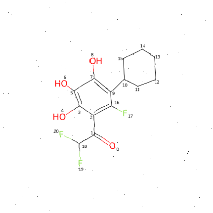 O=C(c1c(O)c(O)c(O)c(C2CCCCC2)c1F)C(F)F